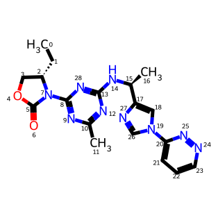 CC[C@H]1COC(=O)N1c1nc(C)nc(N[C@@H](C)c2cn(-c3cccnn3)cn2)n1